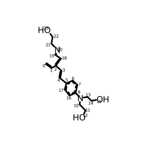 C=CC(/C=C/c1ccc(N(CCO)CCO)cc1)=C\C=N\CCO